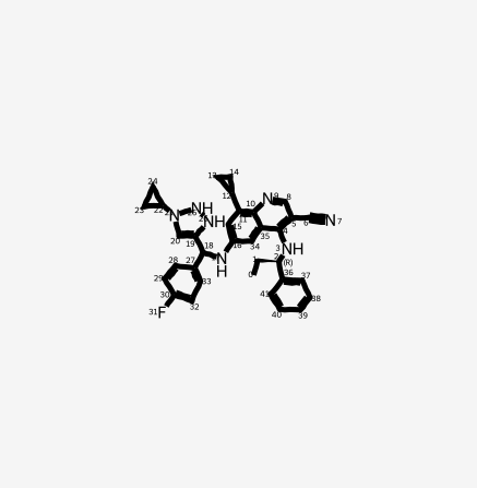 CC[C@@H](Nc1c(C#N)cnc2c(C3CC3)cc(NC(C3=CN(C4CC4)NN3)c3ccc(F)cc3)cc12)c1ccccc1